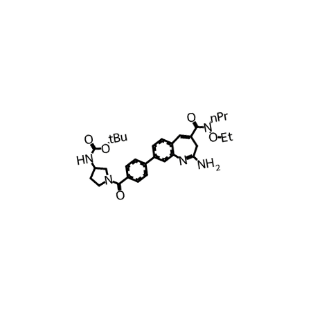 CCCN(OCC)C(=O)C1=Cc2ccc(-c3ccc(C(=O)N4CCC(NC(=O)OC(C)(C)C)C4)cc3)cc2N=C(N)C1